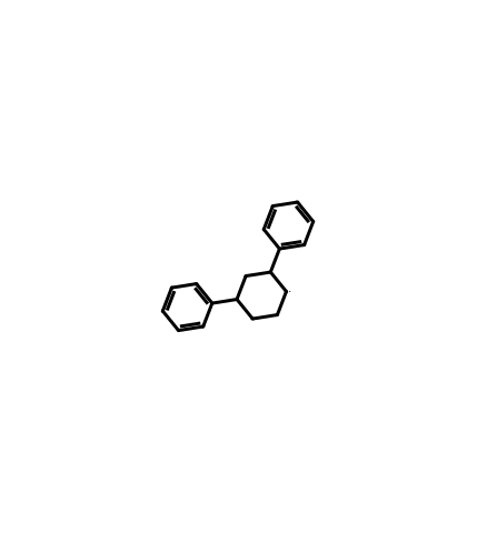 [CH]1CCC(c2ccccc2)CC1c1ccccc1